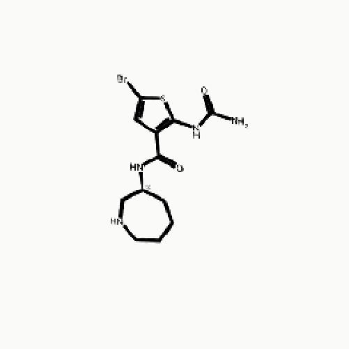 NC(=O)Nc1sc(Br)cc1C(=O)N[C@H]1CCCCNC1